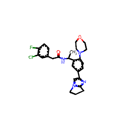 CC(NC(=O)Cc1ccc(F)c(Cl)c1)c1cc(-c2cn3c(n2)CCC3)ccc1N1CCOCC1